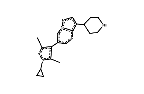 Cc1nn(C2CC2)c(C)c1-c1cnc2c(C3CCNCC3)cnn2c1